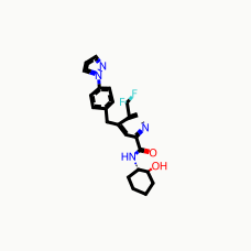 C=C(/C(=C\C(=N/C)C(=O)N[C@H]1CCCC[C@@H]1O)Cc1ccc(-n2cccn2)cc1)C(F)F